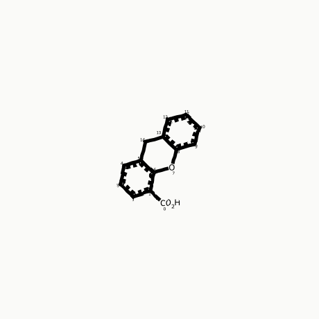 O=C(O)c1cccc2c1Oc1ccccc1C2